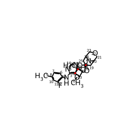 COc1c(Nc2ccc(C)cc2F)ncnc1OC1CC2COCC(C1)N2C(=O)OC1(C)CCC1